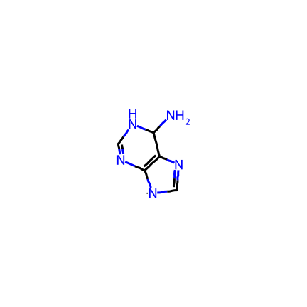 NC1NC=NC2=C1N=C[N]2